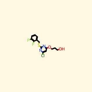 OCCCOc1cc(Cl)nc(SCc2cccc(F)c2F)n1